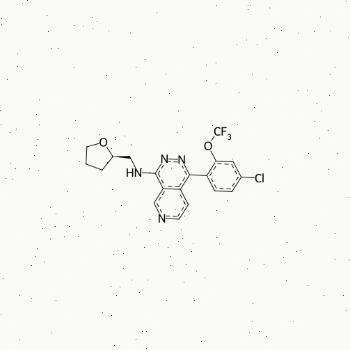 FC(F)(F)Oc1cc(Cl)ccc1-c1nnc(NC[C@H]2CCCO2)c2cnccc12